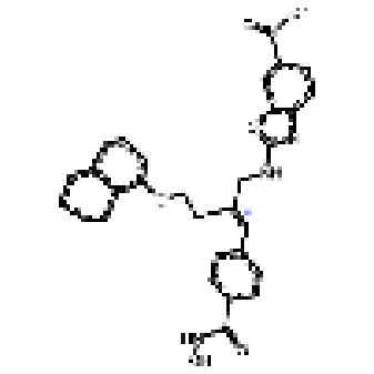 O=C(NO)c1ccc(/C=C(\CCOc2cccc3ccccc23)CNc2nc3ccc([N+](=O)[O-])cc3s2)cc1